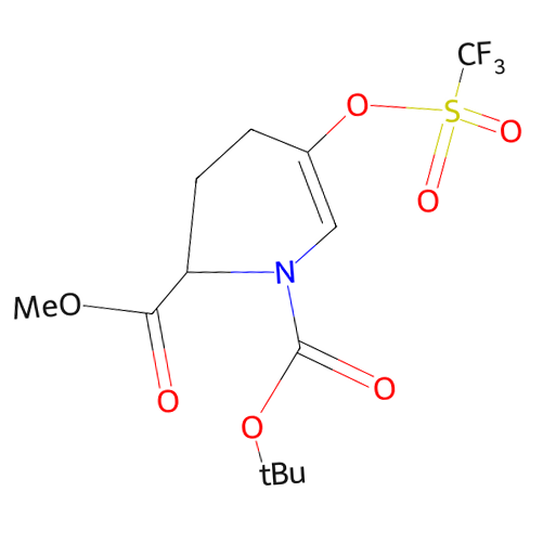 COC(=O)C1CCC(OS(=O)(=O)C(F)(F)F)=CN1C(=O)OC(C)(C)C